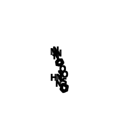 O=C(COc1ccc(-n2cnnn2)cc1)Nc1nc2ccccc2s1